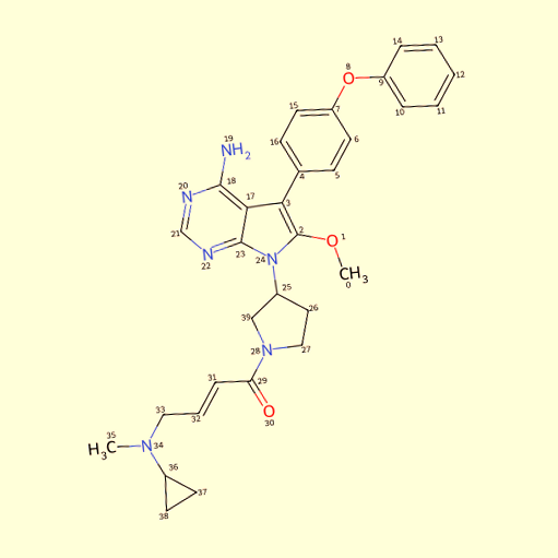 COc1c(-c2ccc(Oc3ccccc3)cc2)c2c(N)ncnc2n1C1CCN(C(=O)C=CCN(C)C2CC2)C1